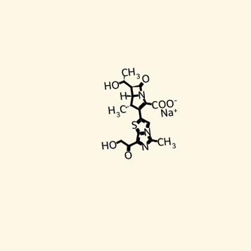 Cc1nc(C(=O)CO)c2sc(C3=C(C(=O)[O-])N4C(=O)[C@H]([C@@H](C)O)[C@H]4[C@H]3C)cn12.[Na+]